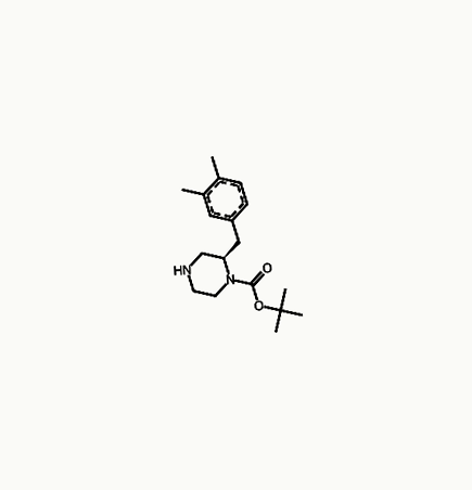 Cc1ccc(C[C@@H]2CNCCN2C(=O)OC(C)(C)C)cc1C